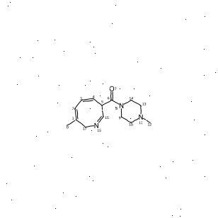 C/C1=C/C=CC(C(=O)N2CCN(C)CC2)/C=N\C1